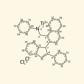 [Cl-].[Cl-].[Ti+2][N](Cc1c(C2C(c3ccccc3)=Cc3ccccc32)ccc2ccccc12)c1ccccc1